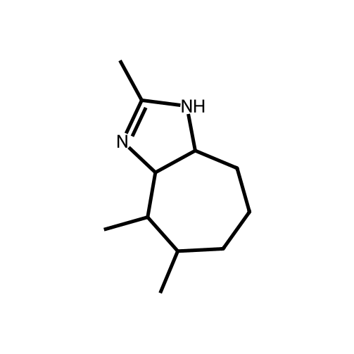 CC1=NC2C(CCCC(C)C2C)N1